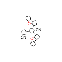 N#Cc1cccc(-c2cc(-c3cccc4c3oc3ccccc34)c(C#N)c(-c3cccc4c3oc3ccccc34)c2)c1